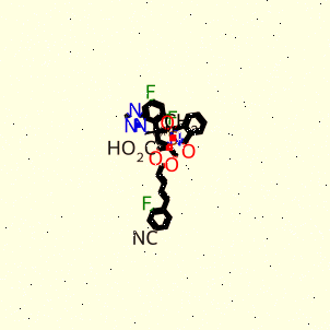 C[C@@H](SC1COC(C=CC=Cc2ccc(C#N)cc2F)OC1)[C@@](Cn1cncn1)(c1ccc(F)cc1F)C(CN1C(=O)c2ccccc2C1=O)C(=O)O